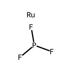 FP(F)F.[Ru]